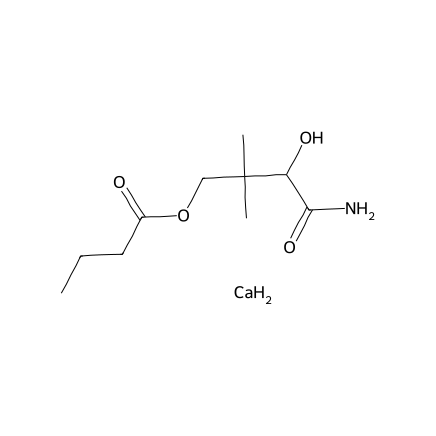 CCCC(=O)OCC(C)(C)C(O)C(N)=O.[CaH2]